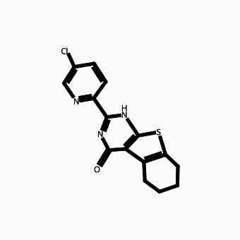 O=c1nc(-c2ccc(Cl)cn2)[nH]c2sc3c(c12)CCCC3